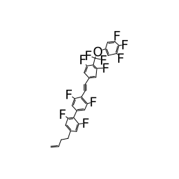 C=CCCc1cc(F)c(-c2cc(F)c(C#Cc3cc(F)c(C(F)(F)Oc4cc(F)c(F)c(F)c4)c(F)c3)c(F)c2)c(F)c1